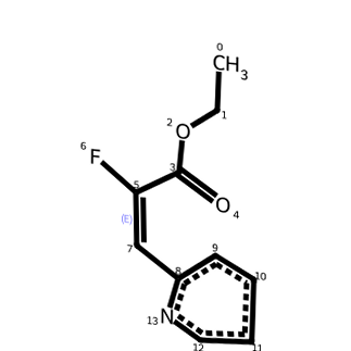 CCOC(=O)/C(F)=C\c1ccccn1